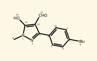 Cn1nc(-c2ccc(C(C)(C)C)cc2)c(C=O)c1O